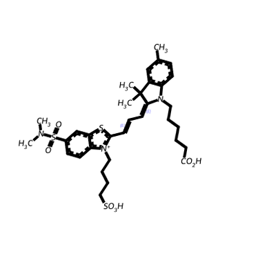 Cc1ccc2c(c1)C(C)(C)/C(=C\C=C\c1sc3cc(S(=O)(=O)N(C)C)ccc3[n+]1CCCCS(=O)(=O)O)N2CCCCCC(=O)O